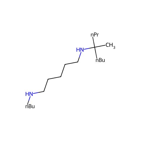 CCCCNCCCCCNC(C)(CCC)CCCC